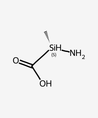 C[Si@H](N)C(=O)O